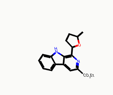 CCOC(=O)c1cc2c([nH]c3ccccc32)c(C2CCC(C)O2)n1